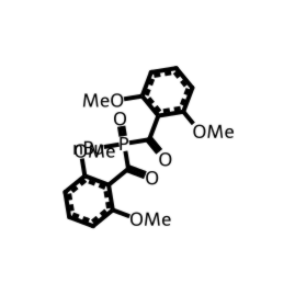 CCCCP(=O)(C(=O)c1c(OC)cccc1OC)C(=O)c1c(OC)cccc1OC